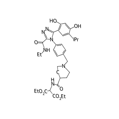 CCNC(=O)c1nnc(-c2cc(C(C)C)c(O)cc2O)n1-c1ccc(CN2CCC(C(=O)NC(C(=O)OCC)C(=O)OCC)CC2)cc1